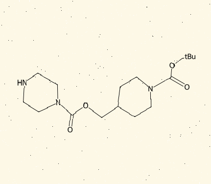 CC(C)(C)OC(=O)N1CCC(COC(=O)N2CCNCC2)CC1